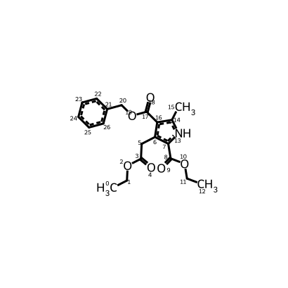 CCOC(=O)Cc1c(C(=O)OCC)[nH]c(C)c1C(=O)OCc1ccccc1